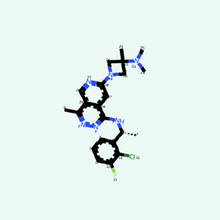 Cc1nnc(N[C@H](C)c2cccc(F)c2Cl)c2cc(N3CC(C)(N(C)C)C3)ncc12